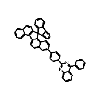 c1ccc(-c2nc(-c3ccc(-c4ccc5c6c(ccc5c4)-c4c(ccc5ccccc45)C64c5ccccc5-c5ccccc54)cc3)nc3ccccc23)cc1